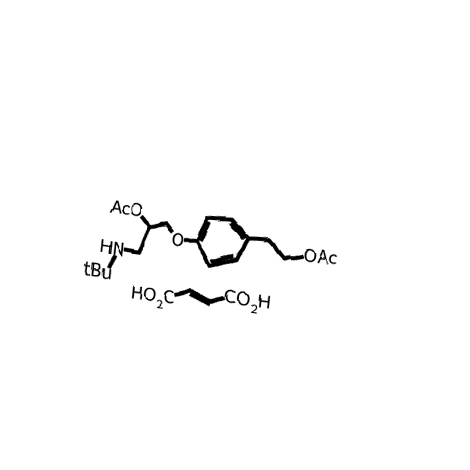 CC(=O)OCCc1ccc(OCC(CNC(C)(C)C)OC(C)=O)cc1.O=C(O)C=CC(=O)O